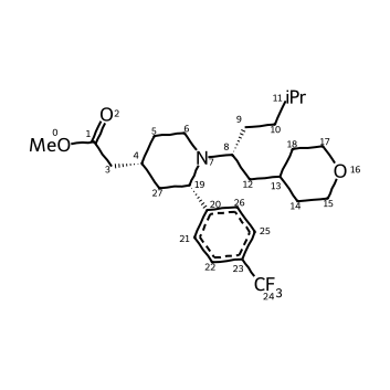 COC(=O)C[C@@H]1CCN([C@H](CCC(C)C)CC2CCOCC2)[C@H](c2ccc(C(F)(F)F)cc2)C1